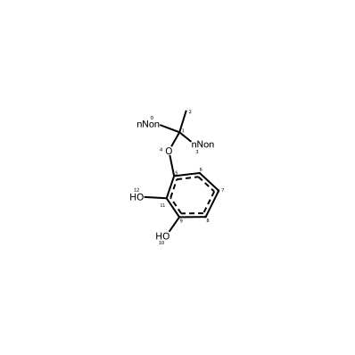 CCCCCCCCCC(C)(CCCCCCCCC)Oc1cccc(O)c1O